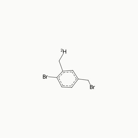 [2H]Cc1cc(CBr)ccc1Br